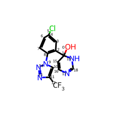 OC1(c2cc(Cl)ccc2-n2cc(C(F)(F)F)nn2)C=CN=CN1